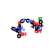 CC(C)[C@@H](C(=O)N1C[C@H](O)C[C@H]1C(=O)N[C@@H](C)c1ccc(Cl)cc1)c1cc(N2CCC(CN3CCC(O[C@H]4C[C@H](Oc5cc(N6C7CCC6CN(c6cc(-c8ccccc8O)nnc6N)C7)ccn5)C4)CC3)CC2)no1